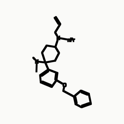 C=CCN(CCC)C1CCC(c2cccc(OCc3ccccc3)c2)(N(C)C)CC1